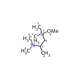 CO[Si](C)(C)CC(C)N(C)C